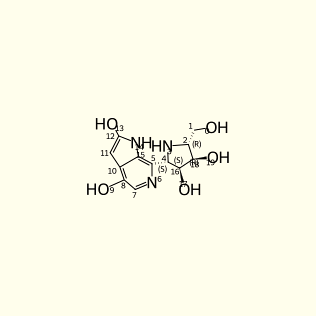 OC[C@H]1N[C@@H](c2ncc(O)c3cc(O)[nH]c23)[C@H](O)[C@@H]1O